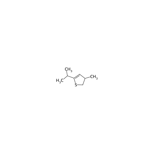 CC1C=C(C(C)C)SC1